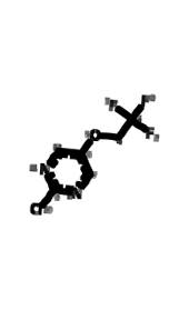 FC(F)(F)COc1cnc(Cl)nc1